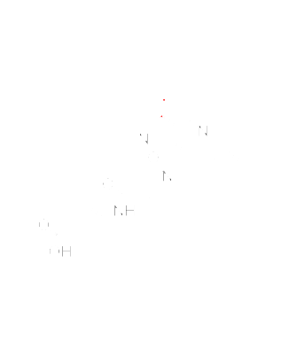 CCN(C(=O)c1c(CN2CCC(C(=O)Nc3ccc(C(=O)O)cc3)CC2)c(-c2ccccc2)nc2ccccc12)C1CCCCC1